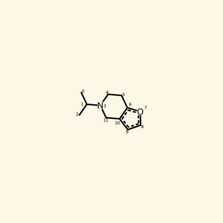 CC(C)N1CCc2occc2C1